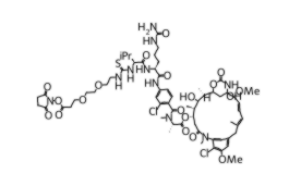 COc1cc2cc(c1Cl)N(C)C(=O)C[C@H](OC(=O)[C@H](C)N(C)C(=O)c1ccc(NC(=O)[C@H](CCCNC(N)=O)NC(=O)[C@@H](NC(=S)NCCOCCOCCC(=O)ON3C(=O)CCC3=O)C(C)C)cc1Cl)[C@@H](C)[C@@H](O)[C@H](C)[C@@H]1C[C@@](O)(NC(=O)O1)[C@H](OC)/C=C/C=C(\C)C2